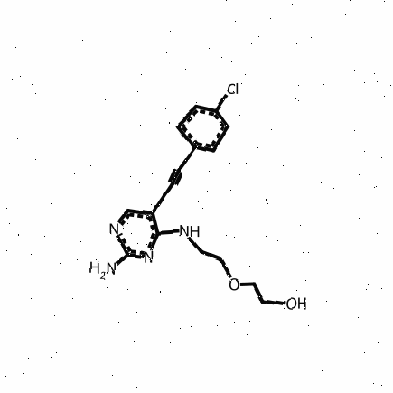 Nc1ncc(C#Cc2ccc(Cl)cc2)c(NCCOCCO)n1